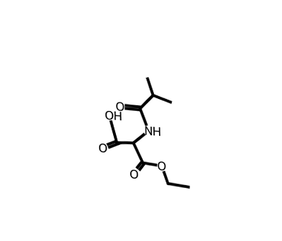 CCOC(=O)C(NC(=O)C(C)C)C(=O)O